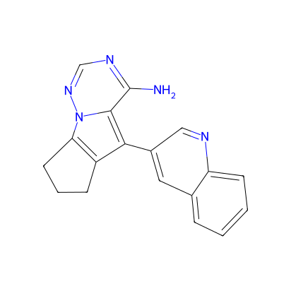 Nc1ncnn2c3c(c(-c4cnc5ccccc5c4)c12)CCC3